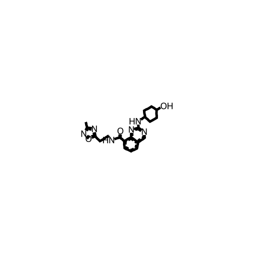 Cc1noc(CCNC(=O)c2cccc3cnc(NC4CCC(O)CC4)nc23)n1